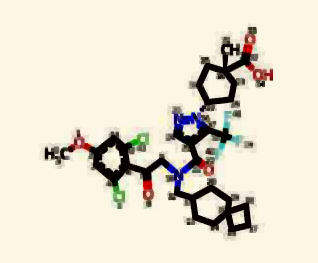 COc1cc(Cl)c(C(=O)CN(CC2CCC3(CCC3)CC2)C(=O)c2cnn([C@H]3CC[C@@](C)(C(=O)O)CC3)c2C(F)(F)F)c(Cl)c1